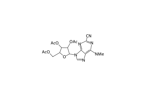 CNc1nc(C#N)nc2c1ncn2C1OC(COC(C)=O)C(OC(C)=O)C1OC(C)=O